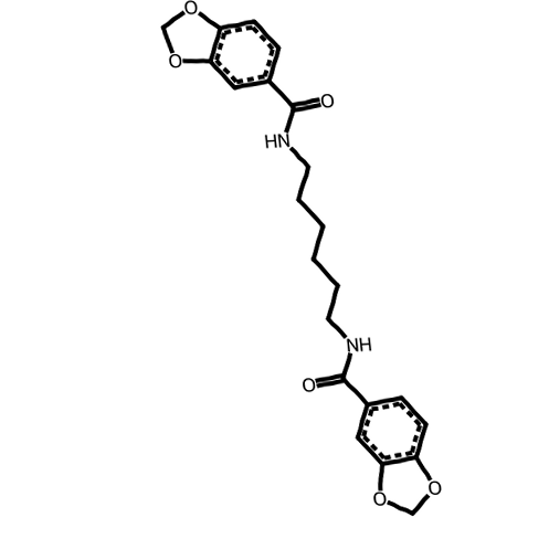 O=C(NCCCCCCNC(=O)c1ccc2c(c1)OCO2)c1ccc2c(c1)OCO2